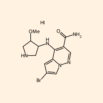 COC1CNCC1Nc1c(C(N)=O)cnn2cc(Br)cc12.I